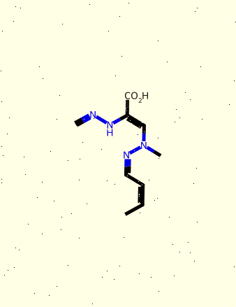 C=NN/C(=C\N(C)/N=C\C=C/C)C(=O)O